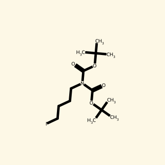 CC(C)(C)OC(=O)N(CCCCI)C(=O)OC(C)(C)C